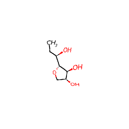 CC[C@@H](O)[C@H]1OC[C@H](O)[C@@H]1O